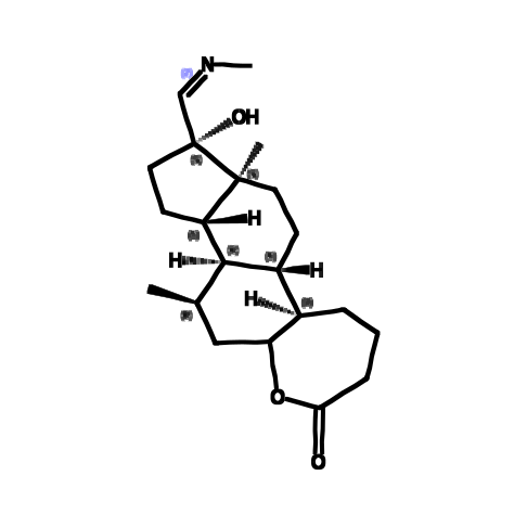 C/N=C\[C@]1(O)CC[C@H]2[C@H]3[C@H](CC[C@@]21C)[C@H]1CCCC(=O)OC1C[C@H]3C